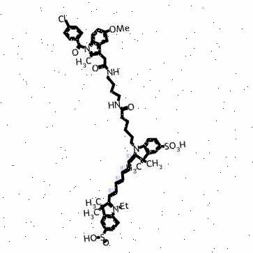 CC[N+]1=C(/C=C/C=C/C=C/C=C2/N(CCCCCC(=O)NCCCCNC(=O)Cc3c(C)n(C(=O)c4ccc(Cl)cc4)c4ccc(OC)cc34)c3ccc(S(=O)(=O)O)cc3C2(C)C)C(C)(C)c2cc(S(=O)O)ccc21